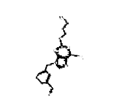 CCCCOc1nc(N)c2ncn(CC3=CCCC(C=O)=C3)c2n1